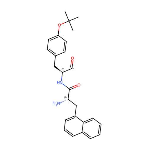 CC(C)(C)Oc1ccc(C[C@@H]([C]=O)NC(=O)[C@@H](N)Cc2cccc3ccccc23)cc1